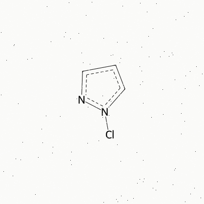 Cln1cccn1